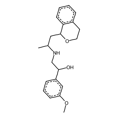 COc1cccc(C(O)CNC(C)CC2OCCc3ccccc32)c1